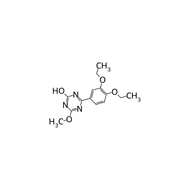 CCOc1ccc(-c2nc(O)nc(OC)n2)cc1OCC